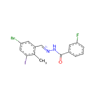 Cc1c(I)cc(Br)cc1/C=N/NC(=O)c1cccc(F)c1